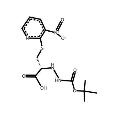 CC(C)(C)OC(=O)NN[C@@H](CSc1ncccc1[N+](=O)[O-])C(=O)O